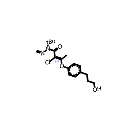 C=NN(C(=O)/C(Cl)=C(\C)Oc1ccc(CCCO)cc1)C(C)(C)C